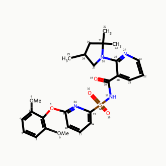 COc1cccc(OC)c1Oc1cccc(S(=O)(=O)NC(=O)c2cccnc2N2CC(C)CC2(C)C)n1